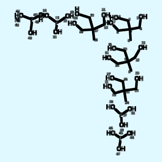 CC(CO)(CO)CO.CC(CO)(CO)CO.CC(CO)(CO)CO.CC(CO)(CO)CO.OP(O)O.OP(O)O.OP(O)O.OP(O)O.[Ni]